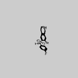 O=S(=O)(Nc1ccc(F)cc1)c1cc2c(cc1Br)CNCC2